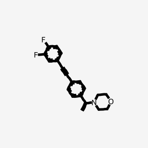 C=C(c1ccc(C#Cc2ccc(F)c(F)c2)cc1)N1CCOCC1